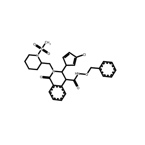 CS(=O)(=O)N1CCCCC1CN1C(=O)c2ccccc2C(C(=O)NOCc2ccccc2)C1C1C=CC(Cl)=C1